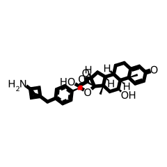 C[C@]12C=CC(=O)C=C1CC[C@@H]1[C@@H]2[C@@H](O)C[C@@]2(C)[C@H]1C[C@H]1O[C@H](c3ccc(CC45CC(N)(C4)C5)cc3)O[C@]12C(=O)CO